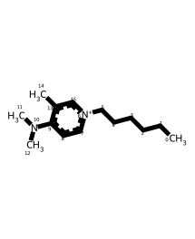 CCCCCC[n+]1ccc(N(C)C)c(C)c1